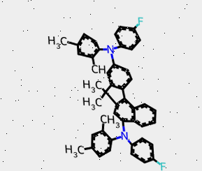 Cc1ccc(N(c2ccc(F)cc2)c2ccc3c(c2)C(C)(C)c2cc(N(c4ccc(F)cc4)c4ccc(C)cc4C)c4ccccc4c2-3)c(C)c1